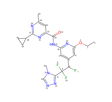 CCOc1cc(C(F)C(F)(F)c2nncn2C)cc(NC(=O)c2cc(C)nc(C3CC3)n2)n1